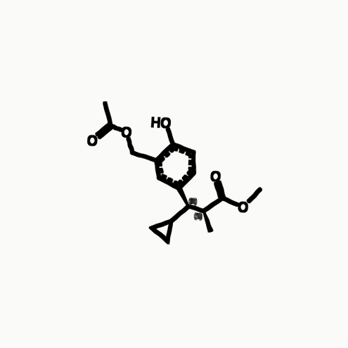 COC(=O)[C@@H](C)[C@H](c1ccc(O)c(COC(C)=O)c1)C1CC1